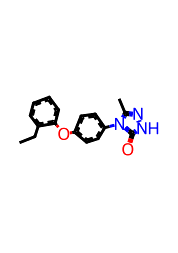 CCc1ccccc1Oc1ccc(-n2c(C)n[nH]c2=O)cc1